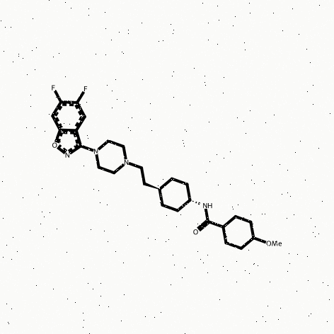 COC1CCC(C(=O)N[C@H]2CC[C@H](CCN3CCN(c4noc5cc(F)c(F)cc45)CC3)CC2)CC1